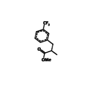 COC(=O)C(C)Cc1cccc(C(F)(F)F)c1